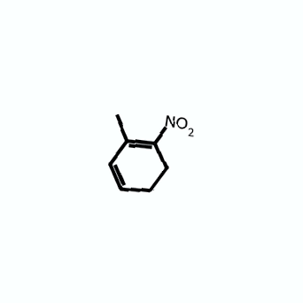 CC1=C([N+](=O)[O-])CCC=C1